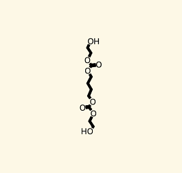 O=C(OCCO)OCCCCOC(=O)OCCO